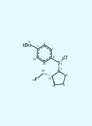 CC(C)(C)c1ccc([S+]([O-])N2CCC[C@@H]2CF)cc1